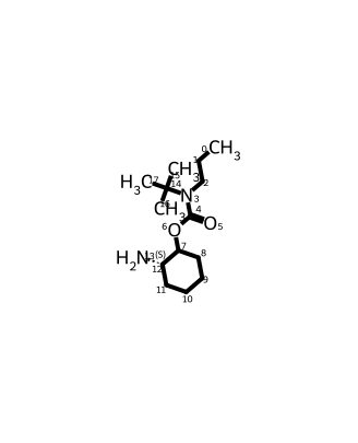 CCCN(C(=O)OC1CCCC[C@@H]1N)C(C)(C)C